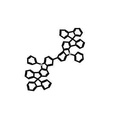 c1ccc(-n2c3ccc(-c4ccc5c(c4)c4ccc6c(c4n5-c4ccccc4)-c4ccccc4C64c5ccccc5-c5ccccc54)cc3c3ccc4c(c32)-c2ccccc2C42c3ccccc3-c3ccccc32)cc1